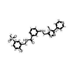 Cn1c(CNc2cccc(C(=O)NCc3cc(S(C)(=O)=O)ccc3F)c2)nnc1-c1ccncc1